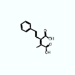 C/C(C(=O)O)=C(\C=Cc1ccccc1)C(=O)O